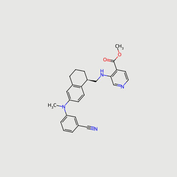 COC(=O)c1ccncc1NC[C@@H]1CCCc2cc(N(C)c3cccc(C#N)c3)ccc21